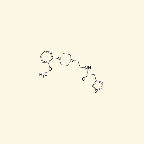 COc1ccccc1N1CCN(CCNC(=O)Cc2ccsc2)CC1